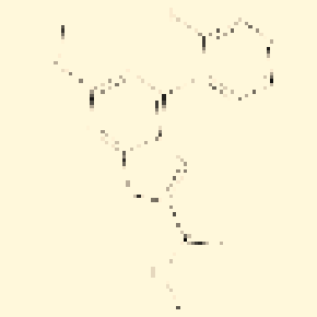 CNC(=O)c1cc2c(-c3ccccc3Cl)nc(NC)nc2s1